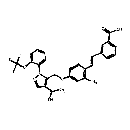 Cc1cc(OCc2c(C(C)C)cnn2-c2ccccc2OC(F)(F)F)ccc1C=Cc1cccc(C(=O)O)c1